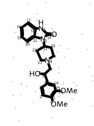 COc1ccc(C(O)CN2CCC(n3c(=O)[nH]c4ccccc43)CC2)cc1OC